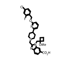 COC1(Cn2c(CN3CCC(c4cccc(OCc5ccc(Cl)cc5F)n4)CC3)nc3ccc(C(=O)O)cc32)CCC1